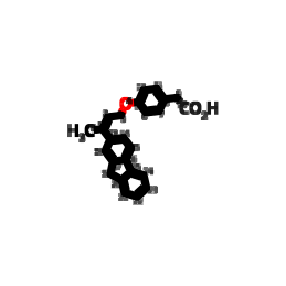 C/C(=C/COc1ccc(CC(=O)O)cc1)c1ccc2c(c1)Cc1ccccc1-2